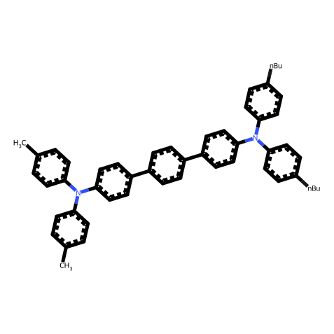 CCCCc1ccc(N(c2ccc(CCCC)cc2)c2ccc(-c3ccc(-c4ccc(N(c5ccc(C)cc5)c5ccc(C)cc5)cc4)cc3)cc2)cc1